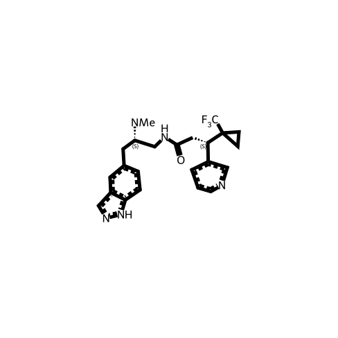 CN[C@H](CNC(=O)C[C@@H](c1cccnc1)C1(C(F)(F)F)CC1)Cc1ccc2[nH]ncc2c1